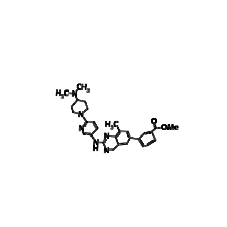 COC(=O)c1cccc(-c2cc(C)c3nc(Nc4ccc(N5CCC(N(C)C)CC5)nc4)ncc3c2)c1